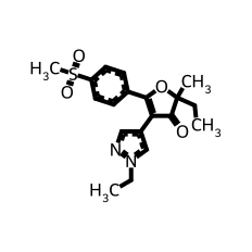 CCn1cc(C2=C(c3ccc(S(C)(=O)=O)cc3)OC(C)(CC)C2=O)cn1